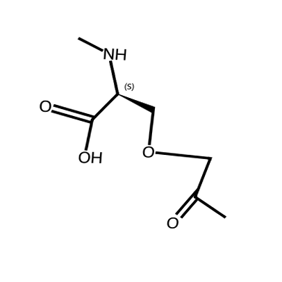 CN[C@@H](COCC(C)=O)C(=O)O